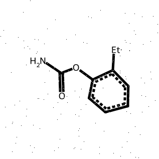 C[CH]c1ccccc1OC(N)=O